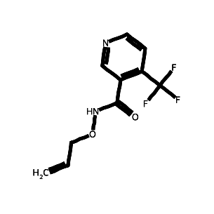 C=CCONC(=O)c1cnccc1C(F)(F)F